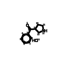 Cl.O=C(c1ccccc1)C1CCNC1